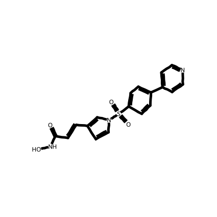 O=C(/C=C/c1ccn(S(=O)(=O)c2ccc(-c3ccncc3)cc2)c1)NO